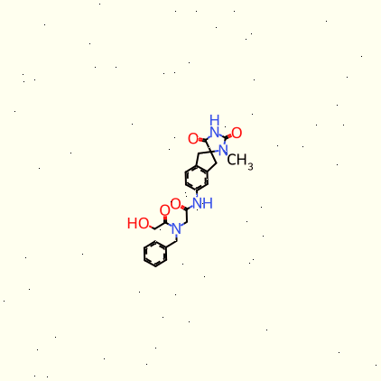 CN1C(=O)NC(=O)C12Cc1ccc(NC(=O)CN(Cc3ccccc3)C(=O)CO)cc1C2